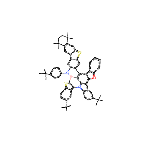 CC(C)(C)c1ccc(N2B3c4sc5ccc(C(C)(C)C)cc5c4-n4c5ccc(C(C)(C)C)cc5c5c6oc7ccccc7c6c(c3c54)-c3cc4sc5cc6c(cc5c4cc32)C(C)(C)CCC6(C)C)cc1